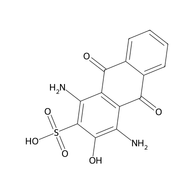 Nc1c(O)c(S(=O)(=O)O)c(N)c2c1C(=O)c1ccccc1C2=O